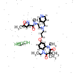 CCN1C(=O)C(C)(C)C(=O)N(C)c2cc(OCCCN(CCN(C)C(=O)c3cc(C)on3)Cc3ccncc3)ccc21.Cl.Cl.Cl